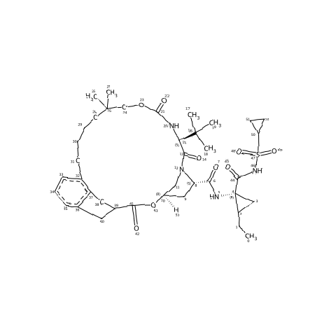 CCC1C[C@]1(NC(=O)[C@@H]1C[C@@H]2CN1C(=O)[C@H](C(C)(C)C)NC(=O)OCC(C)(C)CCCCc1cccc3c1CC(C3)C(=O)O2)C(=O)NS(=O)(=O)C1CC1